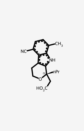 CCC[C@@]1(CC(=O)O)OCCc2c1[nH]c1c(C)ccc(C#N)c21